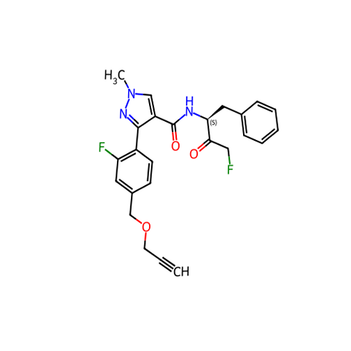 C#CCOCc1ccc(-c2nn(C)cc2C(=O)N[C@@H](Cc2ccccc2)C(=O)CF)c(F)c1